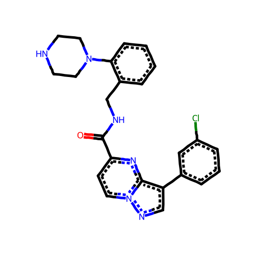 O=C(NCc1ccccc1N1CCNCC1)c1ccn2ncc(-c3cccc(Cl)c3)c2n1